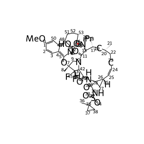 COc1ccc2c(O[C@]3(C)CN4C(=O)[C@@H](N(C(=O)O)C(C)C)[C@H](C)C[C@H](C)CC/C=C\[C@@H]5C[C@@]5(C(=O)NS(=O)(=O)C5(C)CC5)NC(=O)[C@H]4C3(F)F)nc3c(c2c1)CCCO3